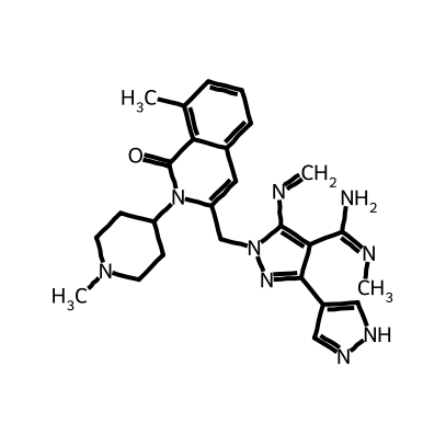 C=Nc1c(/C(N)=N\C)c(-c2cn[nH]c2)nn1Cc1cc2cccc(C)c2c(=O)n1C1CCN(C)CC1